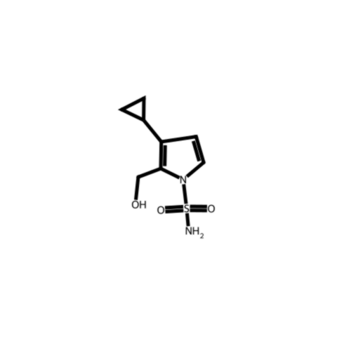 NS(=O)(=O)n1ccc(C2CC2)c1CO